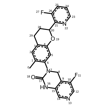 Cc1cc2c(cc1N1Cc3c(F)cncc3NC1=O)OC(c1ncccc1F)CC2